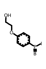 B#P(I)c1ccc(OCCO)cc1